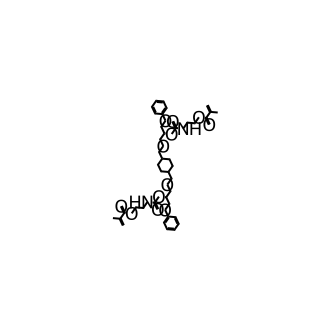 C=C(C)C(=O)OCCNC(=O)OC(COCC1CCC(COCC(COc2ccccc2)OC(=O)NCCOC(=O)C(=C)C)CC1)COc1ccccc1